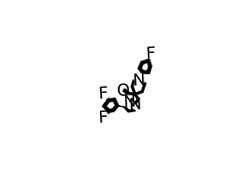 O=C1N2[C@H](c3cc(F)cc(F)c3)CCN2CC12CCN(c1ccc(F)cc1)CC2